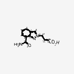 NC(=O)c1cccc2cn(CCC(=O)O)nc12